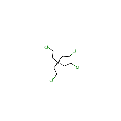 ClC[CH2][Sn]([CH2]CCl)([CH2]CCl)[CH2]CCl